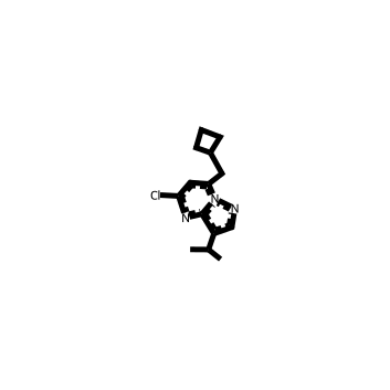 CC(C)c1cnn2c(CC3CCC3)cc(Cl)nc12